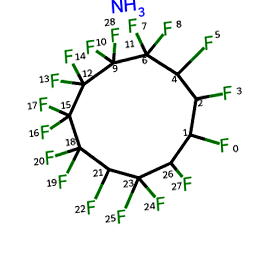 FC1C(F)C(F)C(F)(F)C(F)(F)C(F)(F)C(F)(F)C(F)(F)C(F)C(F)(F)C1F.N